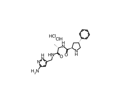 C[C@H](NC(=O)[C@H]1C[C@H](c2ccccc2)CN1)C(=O)NCc1cc(N)n[nH]1.Cl.Cl